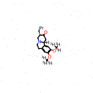 [2H]C([2H])([2H])Oc1cc2c(cc1OC([2H])([2H])[2H])[C@H]1CC(=O)[C@H](CC(C)C)CN1CC2